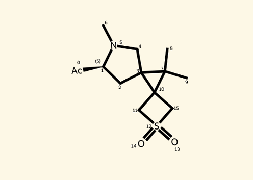 CC(=O)[C@@H]1CC2(CN1C)C(C)(C)C21CS(=O)(=O)C1